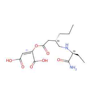 CCC[C@H](CN[C@@H](CC)C(N)=O)CC(=O)O/C(=C/C(=O)O)C(=O)O